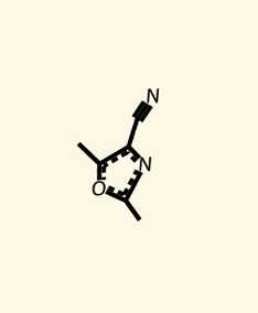 Cc1nc(C#N)c(C)o1